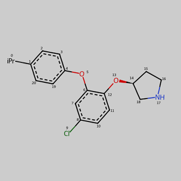 CC(C)c1ccc(Oc2cc(Cl)ccc2O[C@H]2CCNC2)cc1